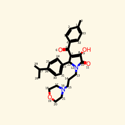 Cc1ccc(C(=O)C2=C(O)C(=O)N(CCCN3CCOCC3)C2c2ccc(C(C)C)cc2)cc1